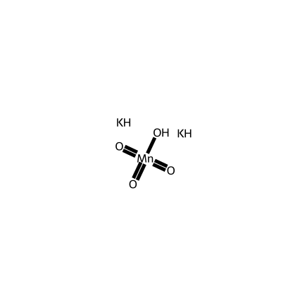 [KH].[KH].[O]=[Mn](=[O])(=[O])[OH]